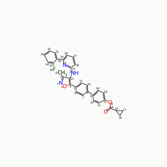 Cc1noc(-c2ccc(-c3ccc(OC(=O)C4CC4)cc3)cc2)c1Nc1cccc(-c2ccccc2F)n1